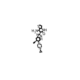 C#Cc1cc2nc(-c3c(N)c4sccc4[nH]c3=O)[nH]c2cc1N1CCN(C2CC2)CC1